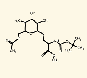 COC(=O)C(CS[C@H]1OC(COC(C)=O)[C@@H](C)[C@H](O)C1O)NC(=O)OC(C)(C)C